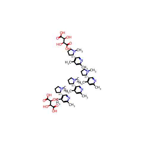 Cc1cc(C)c([C@@H]2CCCN2C)cn1.Cc1cc(C)c([C@@H]2CCCN2C)cn1.Cc1cc(C)c([C@@H]2CCCN2C)cn1.Cc1cc(C)c([C@@H]2CCCN2C)cn1.O=C(O)C(O)C(O)C(=O)O.O=C(O)C(O)C(O)C(=O)O